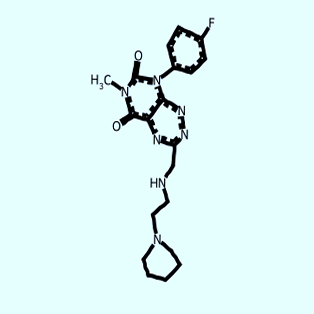 Cn1c(=O)c2nc(CNCCN3CCCCC3)nnc2n(-c2ccc(F)cc2)c1=O